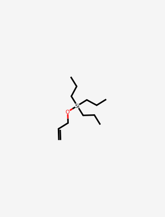 C=CCO[Si](CCC)(CCC)CCC